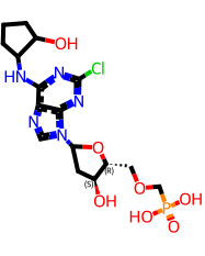 O=P(O)(O)COC[C@H]1OC(n2cnc3c(NC4CCCC4O)nc(Cl)nc32)C[C@@H]1O